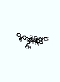 C#CCCC(=O)NN(CCN1C(=O)c2cccc3c(N4CCSCC4)ccc(c23)C1=O)C(=O)CCc1ccc(C(=O)c2ccccc2)cc1